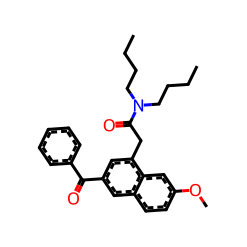 CCCCN(CCCC)C(=O)Cc1cc(C(=O)c2ccccc2)cc2ccc(OC)cc12